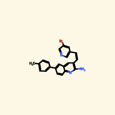 Cc1ccc(-c2ccc3nc(N)c(/C=C\c4cncc(Br)c4)cc3c2)cc1